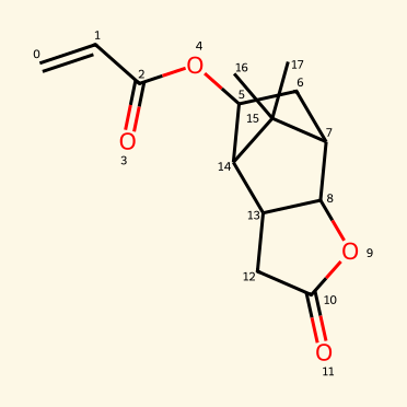 C=CC(=O)OC1CC2C3OC(=O)CC3C1C2(C)C